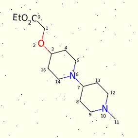 CCOC(=O)COC1CCN(C2CCN(C)CC2)CC1